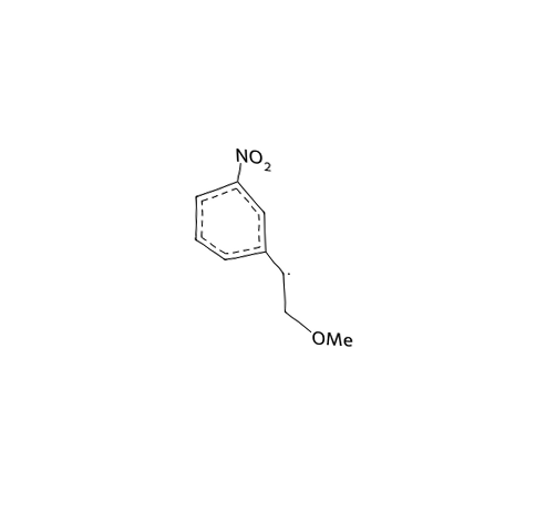 COC[CH]c1cccc([N+](=O)[O-])c1